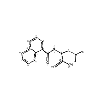 CC(C)CC(NC(=O)c1cccc2ccccc12)C(=O)O